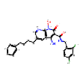 Nc1c(C(=O)NCc2ccc(F)cc2F)c(=O)n(O)c2ncc(CCCCc3ccccc3)cc12